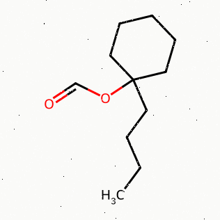 CCCCC1(OC=O)CCCCC1